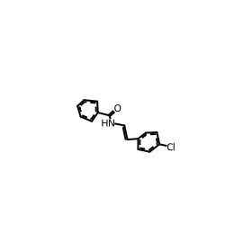 O=C(NC=Cc1ccc(Cl)cc1)c1ccccc1